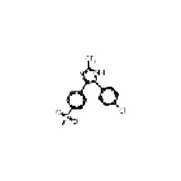 CS(=O)(=O)c1ccc(-c2nc(C(F)(F)F)[nH]c2-c2ccc(Cl)cc2)cc1